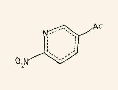 CC(=O)c1ccc([N+](=O)[O-])nc1